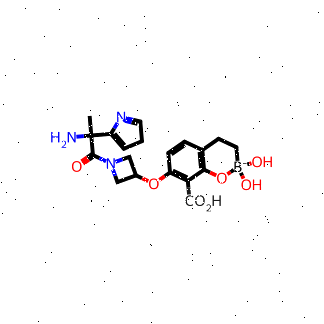 CC(N)(C(=O)N1CC(Oc2ccc3c(c2C(=O)O)O[B-](O)(O)CC3)C1)C1=CCC=N1